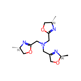 C[C@@H]1N=C(CN(CC2=N[C@@H](C)CO2)CC2=N[C@@H](C)CO2)CO1